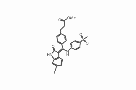 COC(=O)CCc1ccc(C(Nc2ccc(S(C)(=O)=O)cc2)=C2C(=O)Nc3cc(F)ccc32)cc1